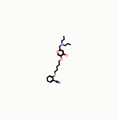 CCCN(CCC)Cc1cc(=O)c(OCCCCCSC2=CCCC=C2C#N)co1